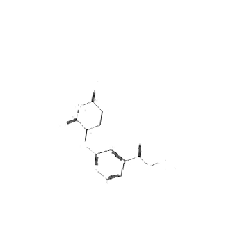 CNC(=O)c1ccnc(SC2CCC(=O)NC2=O)c1